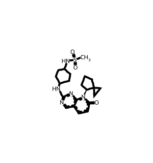 CS(=O)(=O)NC1CCC(Nc2ncc3ccc(=O)n([C@H]4CCCC45CC5)c3n2)CC1